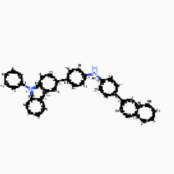 c1ccc(-n2c3ccccc3c3cc(-c4ccc(Nc5ccc(-c6ccc7ccccc7c6)cc5)cc4)ccc32)cc1